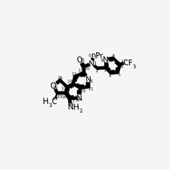 CCCN(Cc1ccc(C(F)(F)F)cn1)C(=O)c1cc2c3c(c(N)nc2cn1)[C@@H](C)OC3